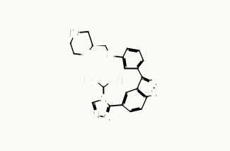 CC(C)n1cnnc1-c1ccc2[nH]nc(-c3cccc(OC[C@@H]4CNCCO4)c3)c2c1